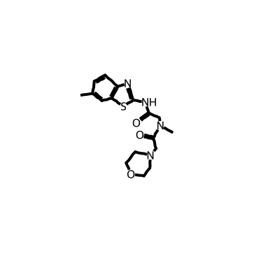 Cc1ccc2nc(NC(=O)CN(C)C(=O)CN3CCOCC3)sc2c1